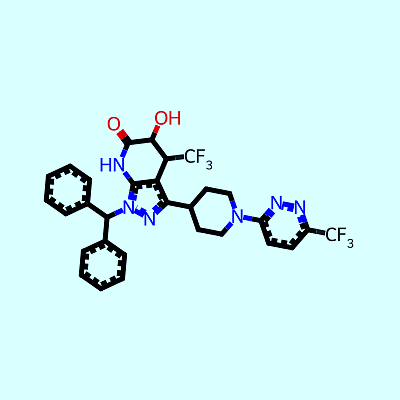 O=C1Nc2c(c(C3CCN(c4ccc(C(F)(F)F)nn4)CC3)nn2C(c2ccccc2)c2ccccc2)C(C(F)(F)F)C1O